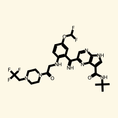 CC(C)(C)NC(=O)c1c[nH]c2ncc(C(=N)c3cc(OC(F)F)ccc3NCC(=O)N3CCN(CC(F)(F)F)CC3)nc12